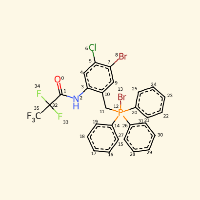 O=C(Nc1cc(Cl)c(Br)cc1CP(Br)(c1ccccc1)(c1ccccc1)c1ccccc1)C(F)(F)C(F)(F)F